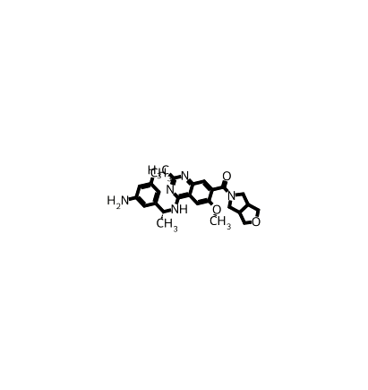 COc1cc2c(N[C@H](C)c3cc(C)cc(N)c3)nc(C)nc2cc1C(=O)N1CC2COCC2C1